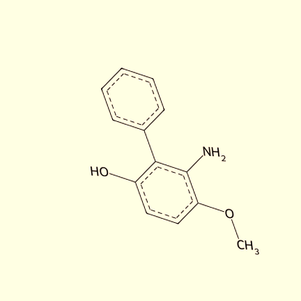 COc1ccc(O)c(-c2ccccc2)c1N